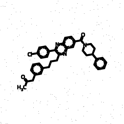 CC(=O)Cc1cccc(CCCc2nc3cc(C(=O)N4CCC(c5ccccc5)CC4)ccc3nc2-c2ccc(Cl)cc2)c1